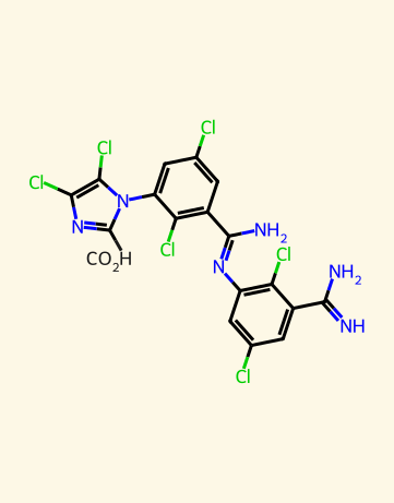 N=C(N)c1cc(Cl)cc(N=C(N)c2cc(Cl)cc(-n3c(C(=O)O)nc(Cl)c3Cl)c2Cl)c1Cl